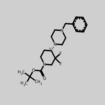 CC(C)(C)OC(=O)N1CC[C@H](N2CCN(Cc3ccccc3)CC2)C(F)(F)C1